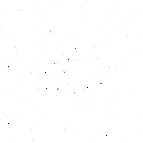 C=CC[C@H](NC(=O)[C@H](CCCCN)NC(=O)[C@H](CCCCN)NC(=O)[C@H](C)N)C(=O)N(C)[C@@H](Cc1ccc(O)cc1)C(=O)N[C@@H](CC(C)C)C(=O)O